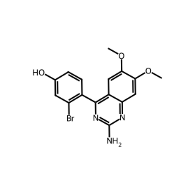 COc1cc2nc(N)nc(-c3ccc(O)cc3Br)c2cc1OC